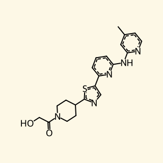 Cc1ccnc(Nc2cccc(-c3cnc(C4CCN(C(=O)CO)CC4)s3)n2)c1